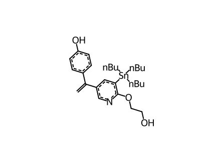 C=C(c1ccc(O)cc1)c1cnc(OCCO)[c]([Sn]([CH2]CCC)([CH2]CCC)[CH2]CCC)c1